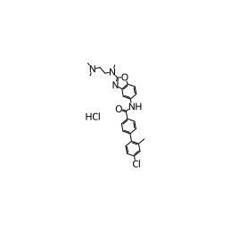 Cc1cc(Cl)ccc1-c1ccc(C(=O)Nc2ccc3oc(N(C)CCN(C)C)nc3c2)cc1.Cl